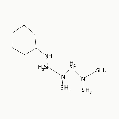 [SiH3]N([SiH3])[SiH2]N([SiH3])[SiH2]NC1CCCCC1